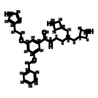 O=C(NCCN(CC1CNC1)CC1CNC1)c1cc(OCCc2c[nH]cn2)cc(OCc2cccnc2)c1